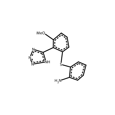 COc1cccc(Sc2ccccc2N)c1-c1nnn[nH]1